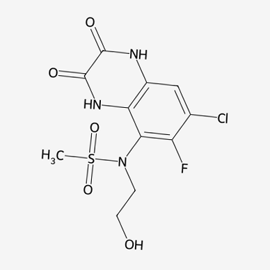 CS(=O)(=O)N(CCO)c1c(F)c(Cl)cc2[nH]c(=O)c(=O)[nH]c12